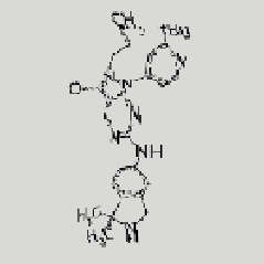 C=CCn1c(=O)c2cnc(Nc3ccc4c(c3)CNC4(C)C)nc2n1-c1ccnc(C(C)(C)C)c1